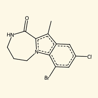 Cc1c2n(c3c(Br)cc(Cl)cc13)CCCNC2=O